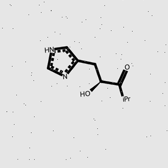 CC(C)C(=O)[C@@H](O)Cc1c[nH]cn1